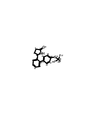 O=C1CCC(c2ccccc2-c2ccc(SC(F)(F)F)cc2)N1